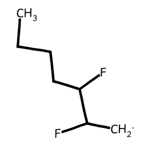 [CH2]C(F)C(F)CCCC